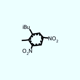 CCC(C)c1cc([N+](=O)[O-])cc([N+](=O)[O-])c1C